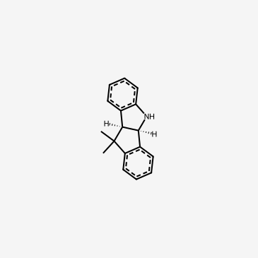 CC1(C)c2ccccc2[C@@H]2Nc3ccccc3[C@@H]21